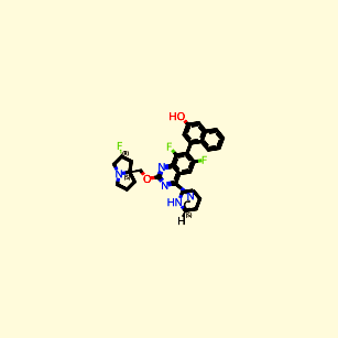 Oc1cc(-c2c(F)cc3c(N4C[C@@H]5CCC4CN5)nc(OC[C@@]45CCCN4C[C@H](F)C5)nc3c2F)c2ccccc2c1